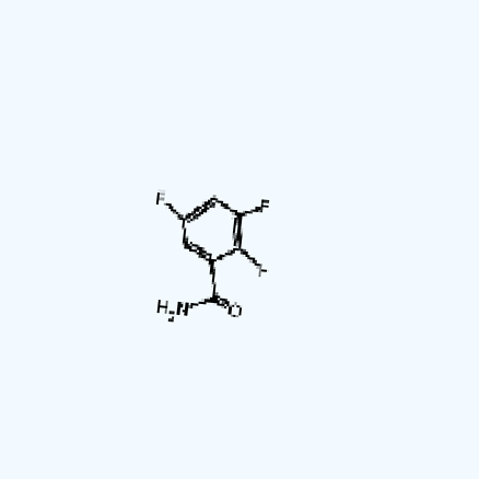 NC(=O)c1cc(F)cc(F)c1F